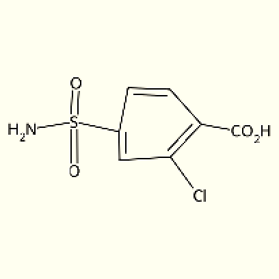 NS(=O)(=O)c1ccc(C(=O)O)c(Cl)c1